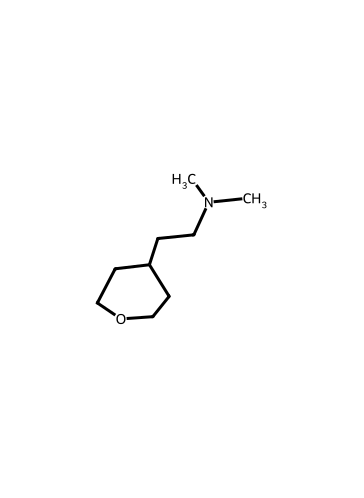 CN(C)CCC1CCOCC1